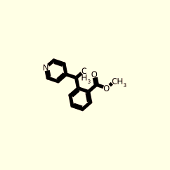 COC(=O)c1ccccc1C(C)c1ccncc1